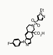 CCn1cc(S(=O)(=O)N2CCC3=Cc4c(cnn4-c4ccc(F)cc4)CC3(C(=O)O)C2)cn1